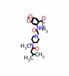 CC(=O)c1cc2c(cc1NC(=O)CN1CCC(N(C)C(=O)CC(C)C)CC1)OCO2